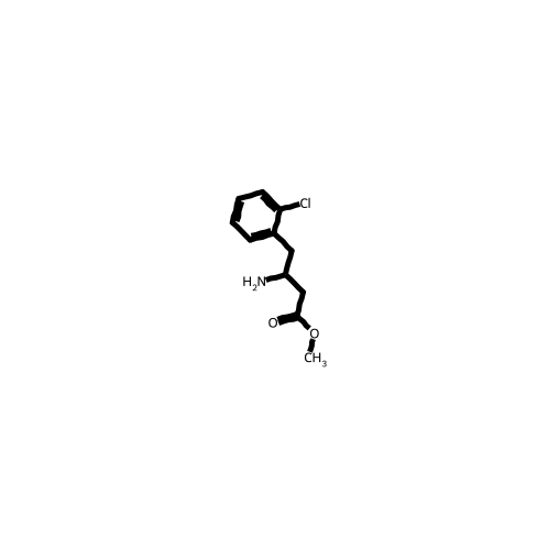 COC(=O)CC(N)Cc1ccccc1Cl